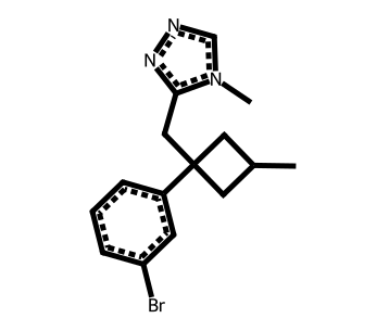 CC1CC(Cc2nncn2C)(c2cccc(Br)c2)C1